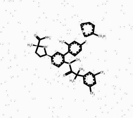 Cc1cc(F)ccc1-c1cc([C@H]2CC[C@](C)(C(N)=O)N2)ncc1N(C)C(=O)C(C)(C)c1cc(C(F)(F)F)cc(C(F)(F)F)c1.O=C(O)c1ccccc1